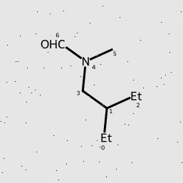 CCC(CC)CN(C)C=O